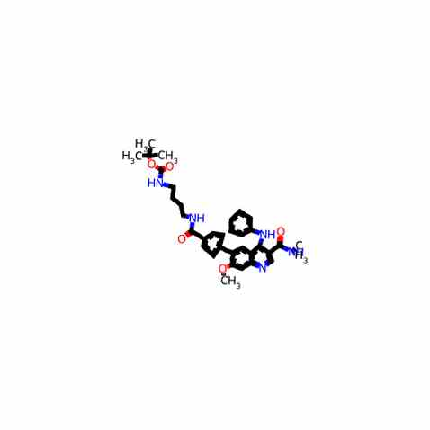 CNC(=O)c1cnc2cc(OC)c(-c3ccc(C(=O)NCCCCNC(=O)OC(C)(C)C)cc3)cc2c1Nc1ccccc1